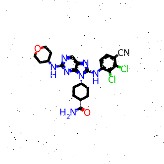 N#Cc1ccc(Nc2nc3cnc(NC4CCOCC4)nc3n2[C@H]2CC[C@@H](C(N)=O)CC2)c(Cl)c1Cl